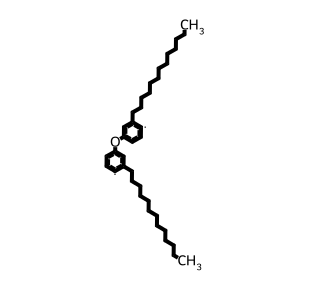 CCCCCCCCCCCCCc1[c]ccc(Oc2cc[c]c(CCCCCCCCCCCCC)c2)c1